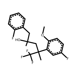 COc1ccc(F)cc1C(C)(CC(C)(O)Cc1ccccc1F)C(F)(F)F